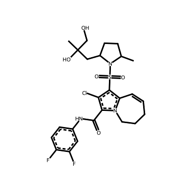 CC1CCC(CC(C)(O)CO)N1S(=O)(=O)c1c(Cl)c(C(=O)Nc2ccc(F)c(F)c2)n2c1C=CCCC2